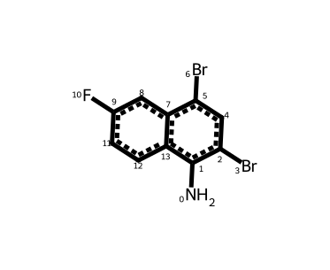 Nc1c(Br)cc(Br)c2cc(F)ccc12